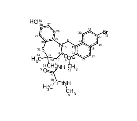 CN[C@H](C)C(=O)N[C@H]1C(=O)N(Cc2c(OC)ccc3cc(Br)ccc23)c2ccccc2SC1(C)C.Cl